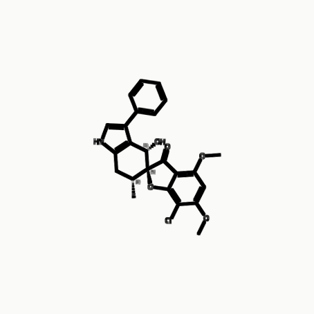 COc1cc(OC)c2c(c1Cl)O[C@@]1(C2=O)[C@H](C)Cc2[nH]cc(-c3ccccc3)c2[C@@H]1O